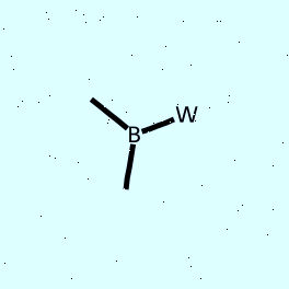 C[B](C)[W]